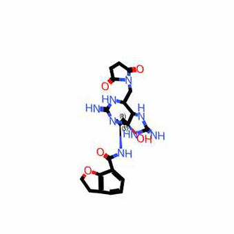 N=C1NC2C(CN3C(=O)CCC3=O)NC(=N)N3C[C@H](NC(=O)c4cccc5c4OCC5)[C@@H](O)[C@]23N1